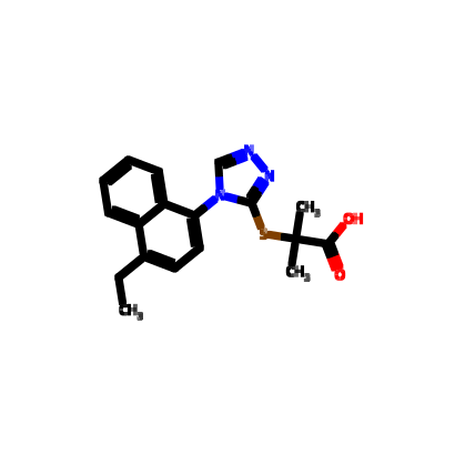 CCc1ccc(-n2cnnc2SC(C)(C)C(=O)O)c2ccccc12